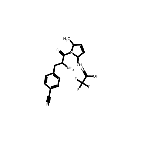 CC1C=CC(C)N1C(=O)C(N)Cc1ccc(C#N)cc1.O=C(O)C(F)(F)F